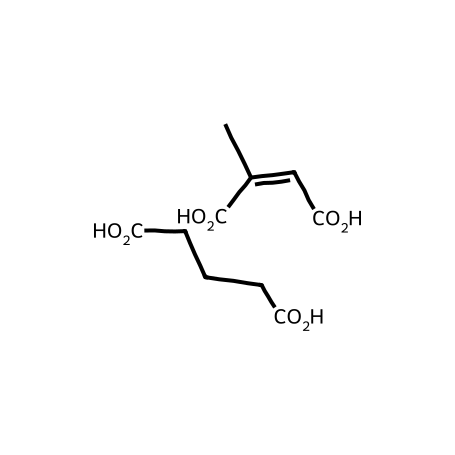 C/C(=C/C(=O)O)C(=O)O.O=C(O)CCCC(=O)O